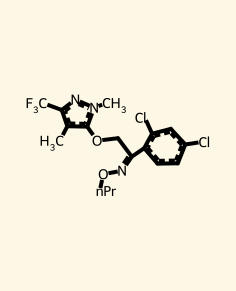 CCCON=C(COc1c(C)c(C(F)(F)F)nn1C)c1ccc(Cl)cc1Cl